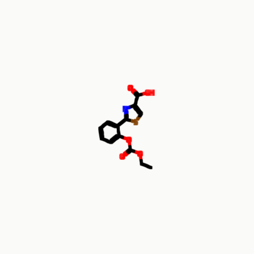 CCOC(=O)Oc1ccccc1-c1nc(C(=O)O)cs1